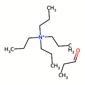 CCC=O.CCC[N+](CCC)(CCC)CCC